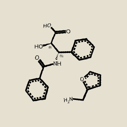 NCc1ccco1.O=C(N[C@@H](c1ccccc1)[C@@H](O)C(=O)O)c1ccccc1